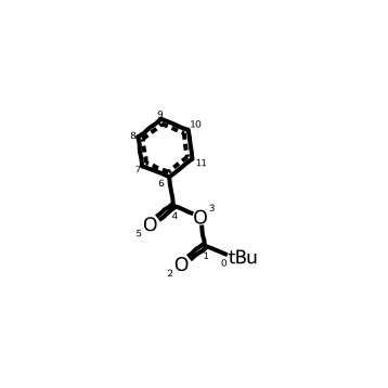 CC(C)(C)C(=O)OC(=O)c1ccccc1